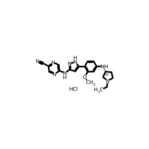 CCN1CC[C@@H](Nc2ccc(-c3cc(Nc4cnc(C#N)cn4)n[nH]3)c(OC)c2)C1.Cl